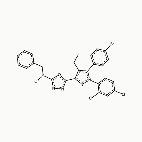 CCc1c(-c2nnc([S+]([O-])Cc3ccccc3)o2)nn(-c2ccc(Cl)cc2Cl)c1-c1ccc(Br)cc1